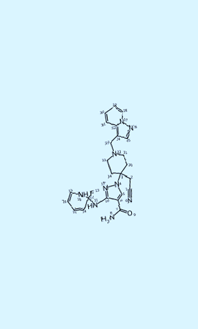 N#CCC1(n2cc(C(N)=O)c(NC3(F)C=CC=CN3)n2)CCN(Cc2cnn3ccccc23)CC1